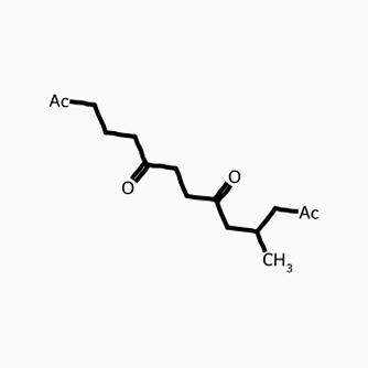 CC(=O)CCCC(=O)CCC(=O)CC(C)CC(C)=O